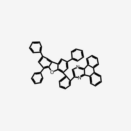 c1ccc(-c2cc(-c3ccccc3)c3oc4c(-c5ccccc5-c5cnc6c7ccccc7c7ccccc7c6n5)cc(-c5ccccc5)cc4c3c2)cc1